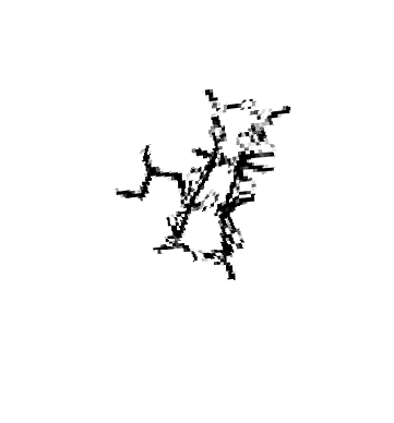 CCC(C)C[Si]12O[Si]3(C)O[Si]4(C)O[Si]5(C)O[Si](C)(O3)O[Si](C)(O1)[Si](C)(O5)O[Si](C)(O4)O2